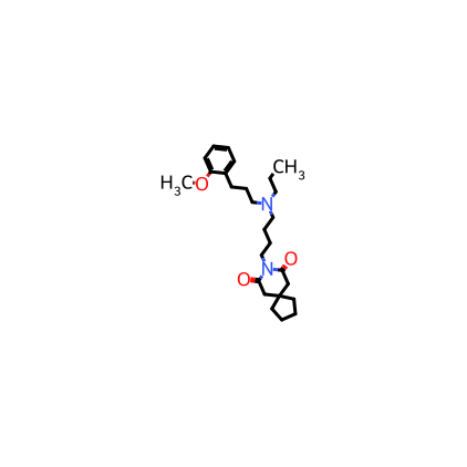 CCCN(CCCCN1C(=O)CC2(CCCC2)CC1=O)CCCc1ccccc1OC